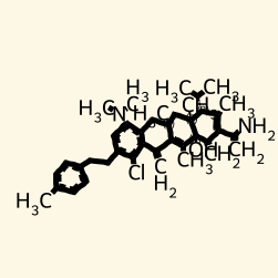 C=C(N)C1=C(C)[C@@H](C(C)C)[C@]2(C)C[C@]3(C)Cc4c(N(C)C)cc(CCc5ccc(C)cc5)c(Cl)c4C(=C)C3=C(C)[C@]2(O)C1=C